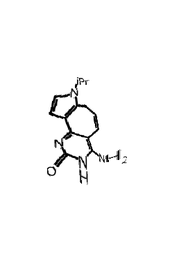 CC(C)n1ccc2c3nc(=O)[nH]c(N)c3ccc21